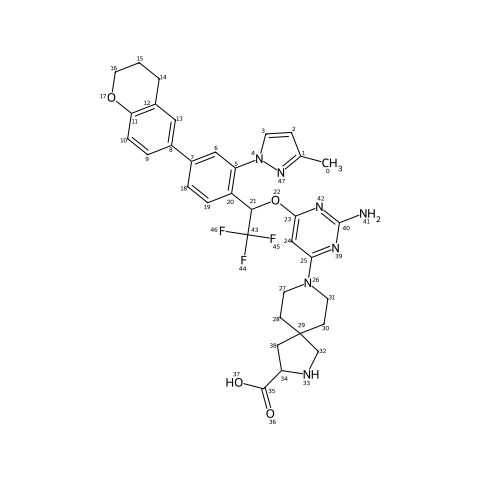 Cc1ccn(-c2cc(-c3ccc4c(c3)CCCO4)ccc2C(Oc2cc(N3CCC4(CC3)CNC(C(=O)O)C4)nc(N)n2)C(F)(F)F)n1